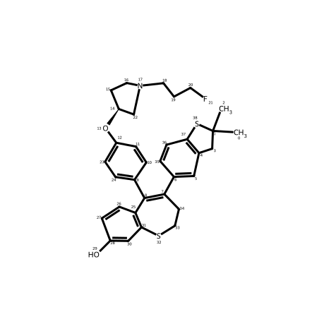 CC1(C)Cc2cc(C3=C(c4ccc(O[C@H]5CCN(CCCF)C5)cc4)c4ccc(O)cc4SCC3)ccc2S1